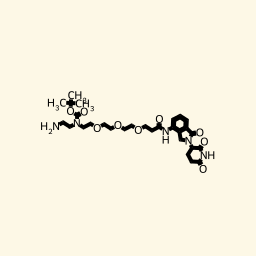 CC(C)(C)OC(=O)N(CCN)CCOCCOCCOCCC(=O)Nc1cccc2c1CN(C1CCC(=O)NC1=O)C2=O